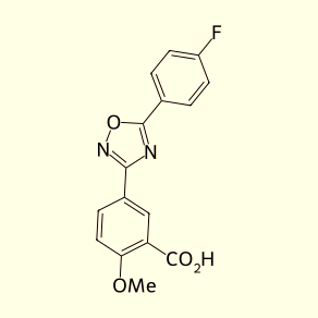 COc1ccc(-c2noc(-c3ccc(F)cc3)n2)cc1C(=O)O